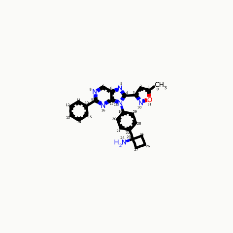 Cc1cc(-c2nc3cnc(-c4ccccc4)nc3n2-c2ccc(C3(N)CCC3)cc2)no1